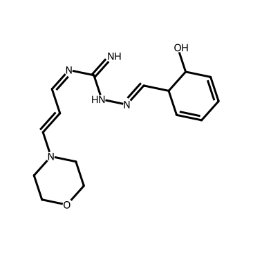 N=C(/N=C\C=C\N1CCOCC1)N/N=C/C1C=CC=CC1O